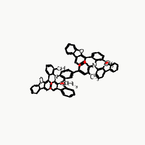 Cc1cc(-c2ccc(N(c3c(C)cccc3-c3cccc4c3oc3ccccc34)c3cccc4c3oc3ccccc34)c(C)c2)ccc1N(c1c(C)cccc1-c1cccc2c1oc1ccccc12)c1cccc2c1oc1ccccc12